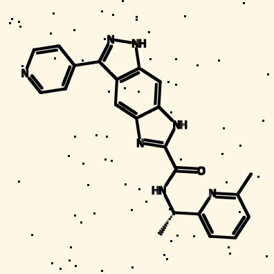 Cc1cccc([C@H](C)NC(=O)c2nc3cc4c(-c5ccncc5)n[nH]c4cc3[nH]2)n1